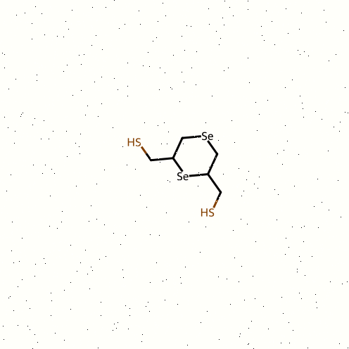 SCC1C[Se]CC(CS)[Se]1